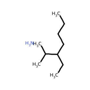 CCCCC(CC)C(C)C.N